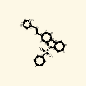 O=S(=O)(c1ccccc1)n1c2ccccc2c2ccc(/C=C/c3c[nH]cn3)cc21